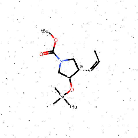 C/C=C\[C@H]1CN(C(=O)OC(C)(C)C)CC1O[Si](C)(C)C(C)(C)C